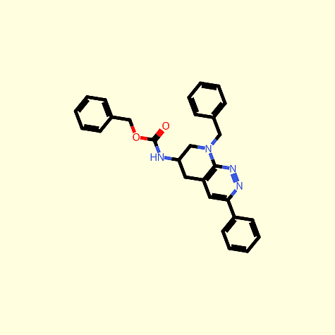 O=C(NC1Cc2cc(-c3ccccc3)nnc2N(Cc2ccccc2)C1)OCc1ccccc1